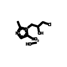 CO.Cc1ncc([N+](=O)[O-])n1CC(O)CCl